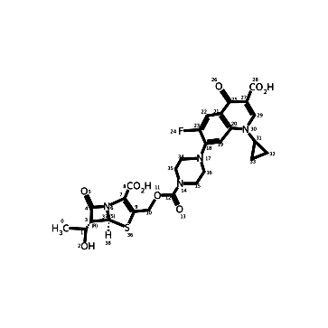 CC(O)[C@@H]1C(=O)N2C(C(=O)O)=C(COC(=O)N3CCN(c4cc5c(cc4F)c(=O)c(C(=O)O)cn5C4CC4)CC3)S[C@@H]12